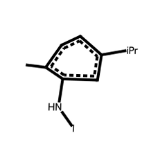 Cc1ccc(C(C)C)cc1NI